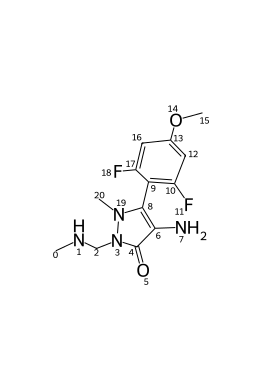 CNCn1c(=O)c(N)c(-c2c(F)cc(OC)cc2F)n1C